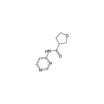 O=C(Nc1c[c]ncn1)C1CCOC1